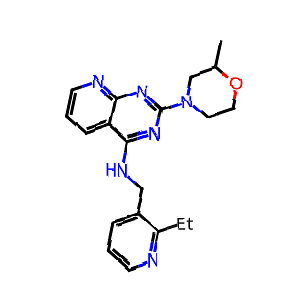 CCc1ncccc1CNc1nc(N2CCOC(C)C2)nc2ncccc12